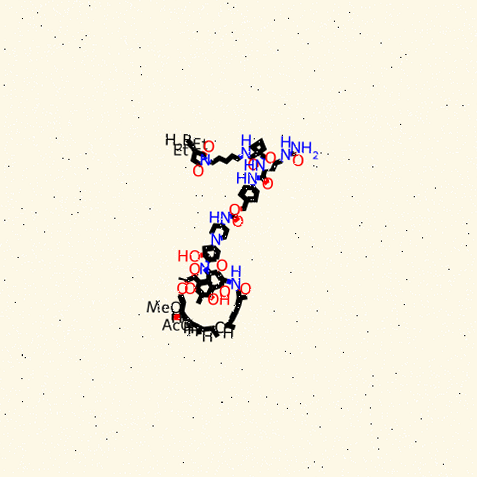 BC(CC)(CC)C1CC(=O)N(CCCCCNC(=O)C2(C(=O)N[C@@H](CCCNC(N)=O)C(=O)Nc3ccc(COC(=O)NC4CCN(c5cc(O)c6nc7c8c9c%10c(C)c(O)c8c(=O)c(c-7oc6c5)NC(=O)/C(C)=C\C=C\[C@H](C)C[C@@H](C)C[C@@H](C)[C@H](OC(C)=O)[C@H](C)[C@@H](OC)/C=C/O[C@@](C)(O%10)C9=O)CC4)cc3)CCC2)C1=O